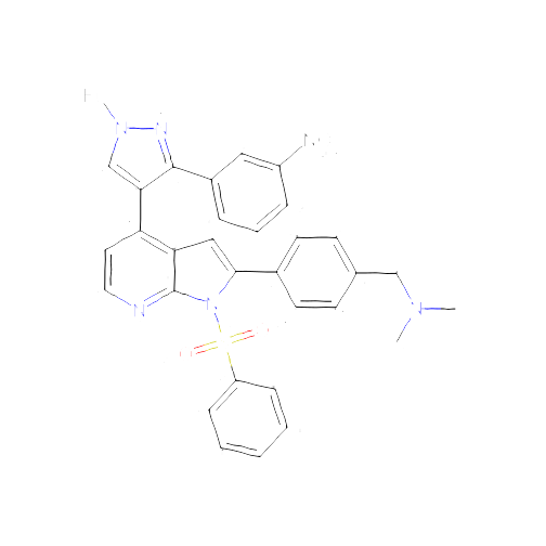 CCn1cc(-c2ccnc3c2cc(-c2ccc(CN(C)C)cc2)n3S(=O)(=O)c2ccccc2)c(-c2cccc([N+](=O)[O-])c2)n1